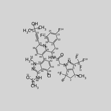 C[C@H]1CC(F)(F)c2c1c(C(F)(F)F)nn2CC(=O)NC(Cc1cc(F)cc(F)c1)c1nc(C#CC(C)(C)O)ccc1-c1ccc(Cl)c2c(N[S+](C)[O-])nn(C)c12